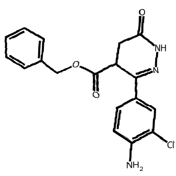 Nc1ccc(C2=NNC(=O)CC2C(=O)OCc2ccccc2)cc1Cl